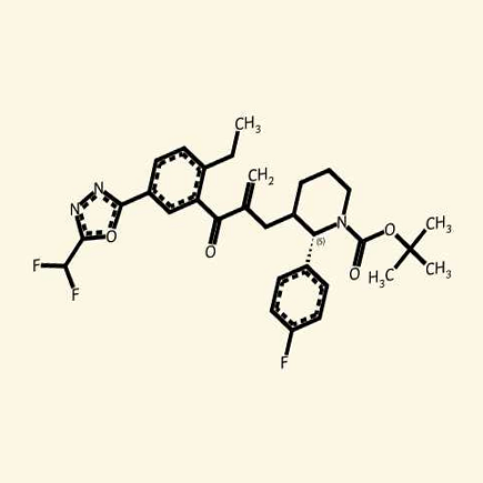 C=C(CC1CCCN(C(=O)OC(C)(C)C)[C@@H]1c1ccc(F)cc1)C(=O)c1cc(-c2nnc(C(F)F)o2)ccc1CC